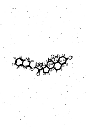 CC12C[C@H](O)[C@@]3(F)C(CCC4=CC(=O)CCC43C)C1CC[C@]2(O)C(=O)CSc1cnc2ccccc2n1